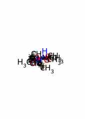 CSc1ccc2c(c1)n(CCNC(=O)OC(C)(C)C)c(=O)n2C(=O)[C@@H]1C[C@H](C)CC[C@H]1C(C)C